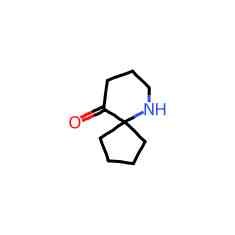 O=C1CCCNC12CCCC2